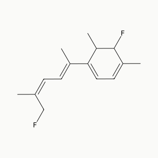 CC1=CC=C(/C(C)=C/C=C(/C)CF)C(C)C1F